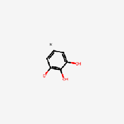 [K+].[O-]c1cccc(O)c1O